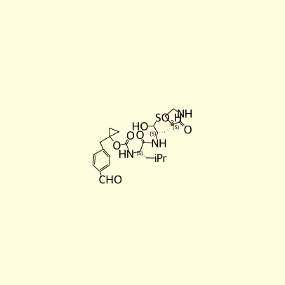 CC(C)C[C@H](NC(=O)OC1(Cc2ccc(C=O)cc2)CC1)C(=O)N[C@@H](C[C@@H]1CCNC1=O)C(O)S(=O)(=O)O